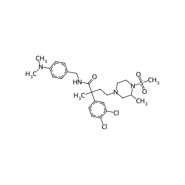 CC1CN(CCC(C)(C(=O)NCc2ccc(N(C)C)cc2)c2ccc(Cl)c(Cl)c2)CCN1S(C)(=O)=O